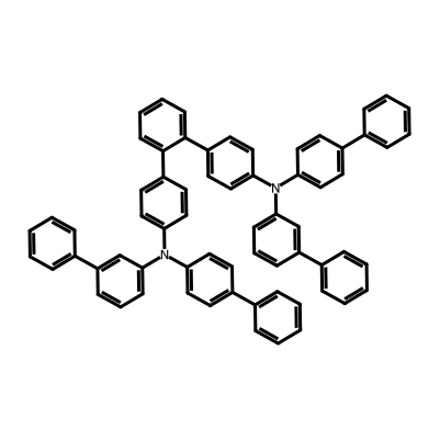 c1ccc(-c2ccc(N(c3ccc(-c4ccccc4-c4ccc(N(c5ccc(-c6ccccc6)cc5)c5cccc(-c6ccccc6)c5)cc4)cc3)c3cccc(-c4ccccc4)c3)cc2)cc1